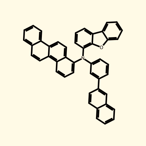 c1cc(-c2ccc3ccccc3c2)cc(N(c2cccc3c2ccc2c4ccccc4ccc32)c2cccc3c2oc2ccccc23)c1